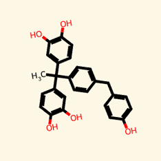 CC(c1ccc(Cc2ccc(O)cc2)cc1)(c1ccc(O)c(O)c1)c1ccc(O)c(O)c1